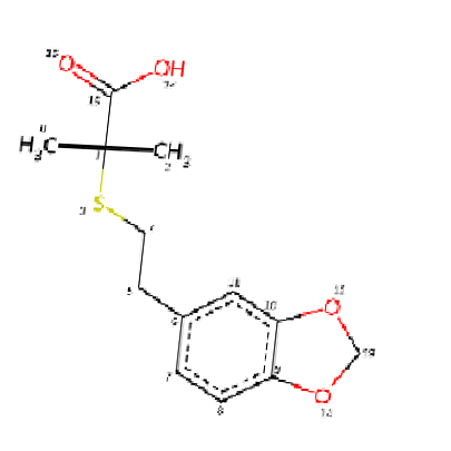 CC(C)(SCCc1ccc2c(c1)OCO2)C(=O)O